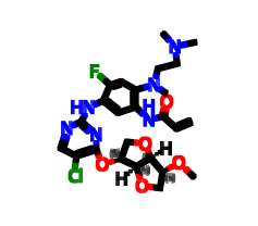 C=CC(=O)Nc1cc(Nc2ncc(Cl)c(O[C@H]3CO[C@@H]4[C@H]3OC[C@@H]4OC)n2)c(F)cc1N(C)CCN(C)C